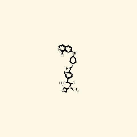 CC(C(=O)N(C)C1COC1)c1cnc(NC[C@H]2CC[C@H](Nc3ccc4ccnc(Cl)c4n3)CC2)nc1